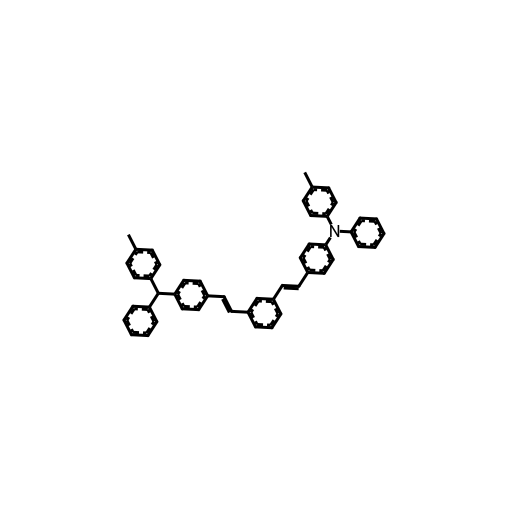 Cc1ccc(C(c2ccccc2)c2ccc(C=Cc3cccc(C=Cc4ccc(N(c5ccccc5)c5ccc(C)cc5)cc4)c3)cc2)cc1